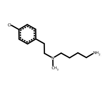 CN(CCCCN)CCc1ccc(Cl)cc1